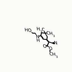 CCOC(=O)/C(C#N)=C1\C=C(NCCO)CC(C)(C)C1